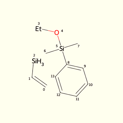 C=C[SiH3].CCO[Si](C)(C)c1ccccc1